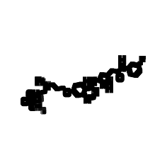 CCN(CCCOc1ccc2c(Nc3cc(CC(=O)Nc4cccc(F)c4)[nH]n3)ncnc2c1)CCOP(C)(C)=O